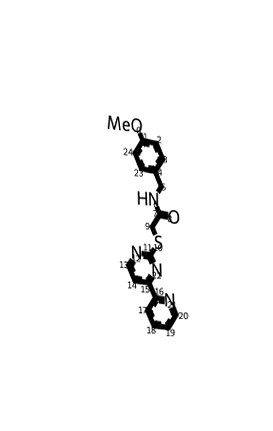 COc1ccc(CNC(=O)CSc2nccc(-c3ccccn3)n2)cc1